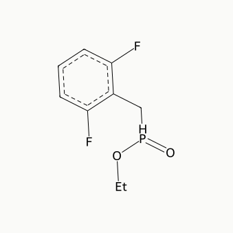 CCO[PH](=O)Cc1c(F)cccc1F